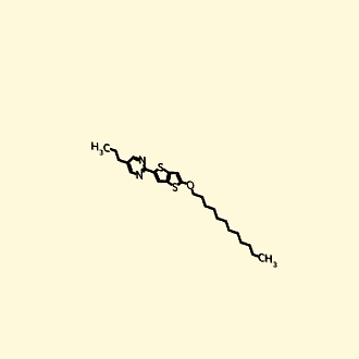 CCCCCCCCCCCCOc1cc2sc(-c3ncc(CCC)cn3)cc2s1